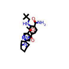 CC(=O)c1ccc(N2C3CCC2CC(NC(=O)c2ccc(C(N)=O)c(NCC(C)(C)C)c2)C3)nc1